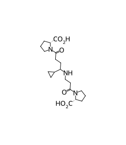 O=C(O)[C@H]1CCCN1C(=O)CCNC(CCC(=O)N1CCC[C@@H]1C(=O)O)C1CC1